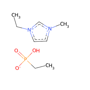 CCP(=O)([O-])O.CC[n+]1ccn(C)c1